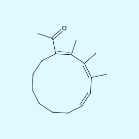 CC(=O)C1=C(C)C(C)=C(C)C=CCCCCCC1